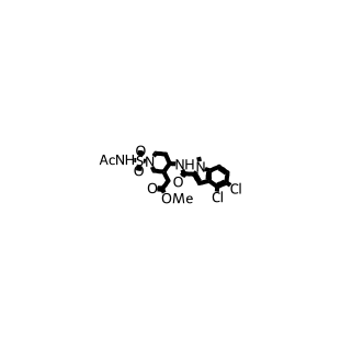 COC(=O)CC1CN(S(=O)(=O)NC(C)=O)CCC1NC(=O)c1cc2c(Cl)c(Cl)ccc2n1C